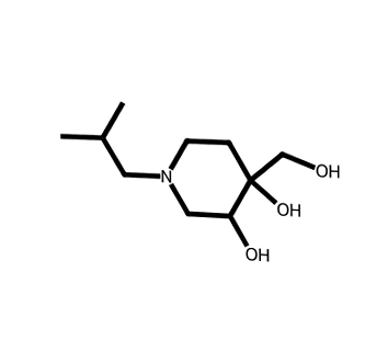 C[C](C)CN1CCC(O)(CO)C(O)C1